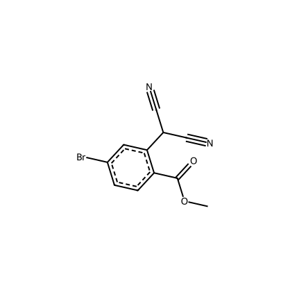 COC(=O)c1ccc(Br)cc1C(C#N)C#N